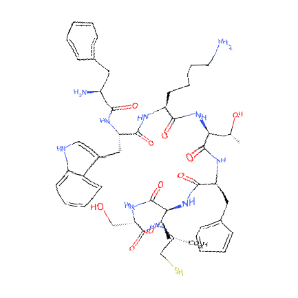 C[C@@H](O)[C@H](NC(=O)[C@H](Cc1ccccc1)NC(=O)[C@@H](NC(=O)[C@H](CCCCN)NC(=O)[C@H](Cc1c[nH]c2ccccc12)NC(=O)[C@@H](N)Cc1ccccc1)[C@@H](C)O)C(=O)N[C@@H](CO)C(=O)N[C@@H](CS)C(=O)O